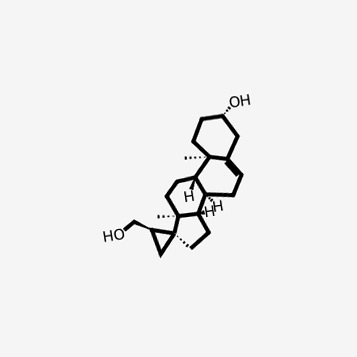 C[C@]12CC[C@H](O)CC1=CC[C@@H]1[C@@H]2CC[C@@]2(C)[C@H]1CC[C@@]21C[C@H]1CO